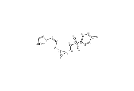 CCCCCCCC/C=C\C/C=C\C[C@H]1O[C@H]1COS(=O)(=O)c1ccc(C)cc1